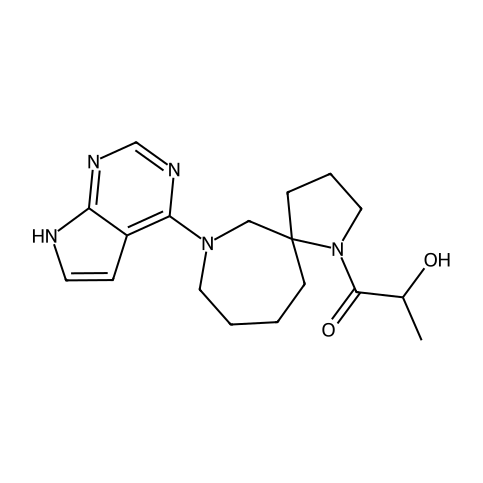 CC(O)C(=O)N1CCCC12CCCCN(c1ncnc3[nH]ccc13)C2